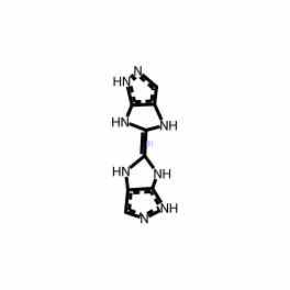 c1n[nH]c2c1N/C(=C1/Nc3cn[nH]c3N1)N2